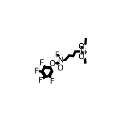 CCO[Si](C)(CCCCN(F)C(=O)Oc1cc(F)c(F)c(F)c1F)OCC